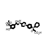 CS(=O)(=O)Nc1cc(C(O)CNC2CCN(c3ccc(N(C(=O)CC(=O)O)C4CCCCC4)cc3)CC2)ccc1O